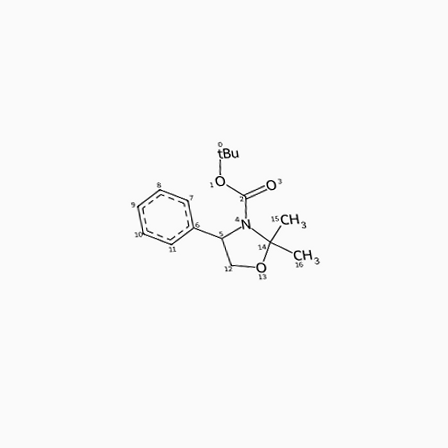 CC(C)(C)OC(=O)N1C(c2ccccc2)COC1(C)C